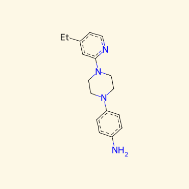 CCc1ccnc(N2CCN(c3ccc(N)cc3)CC2)c1